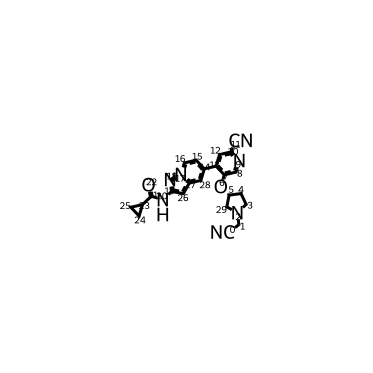 N#CCN1CC[C@@H](Oc2cnc(C#N)cc2-c2ccn3nc(NC(=O)C4CC4)cc3c2)C1